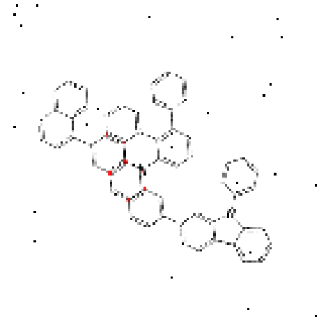 c1ccc(-c2ccccc2-c2c(-c3ccccc3)cccc2N(c2ccc(-c3cccc4ccccc34)cc2)c2cccc(-c3ccc4c5ccccc5n(-c5ccccc5)c4c3)c2)cc1